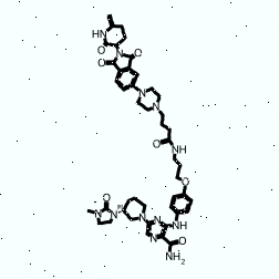 C=C1CCC(N2C(=O)c3ccc(N4CCN(CCCC(=O)NCCCOc5ccc(Nc6nc(N7CCC[C@@H](N8CCN(C)C8=O)C7)cnc6C(N)=O)cc5)CC4)cc3C2=O)C(=O)N1